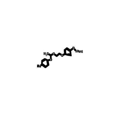 CCCCCOc1ccc(OCCOC(C)Oc2ccc(C(C)CC)cc2)cc1